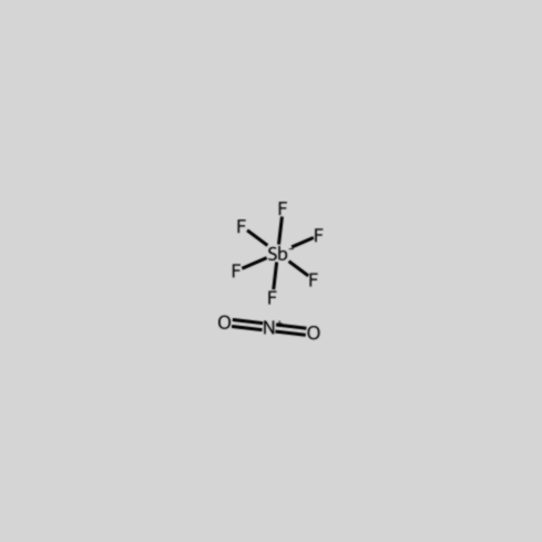 O=[N+]=O.[F][Sb-]([F])([F])([F])([F])[F]